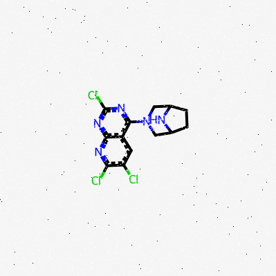 Clc1nc(N2CC3CCC(C2)N3)c2cc(Cl)c(Cl)nc2n1